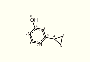 Oc1cc(C2CC2)ncn1